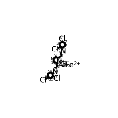 Clc1ccc(N=CCc2cccc(CC=Nc3ccc(Cl)cc3Cl)n2)c(Cl)c1.[Cl-].[Cl-].[Fe+2]